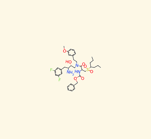 CCCC(CCC)S(=O)(=O)CC(NC(=O)OCc1ccccc1)C(=O)N(CCc1cccc(OC)c1)C[C@@H](O)[C@@H](N)Cc1cc(F)cc(F)c1